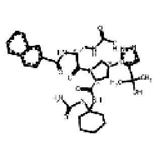 CC(=O)NC[C@@H](NC(=O)c1ccc2ccccc2c1)C(=O)N1C[C@@H](n2nncc2C(C)(C)O)C[C@H]1C(=O)NC1(SC(N)=O)CCCCC1